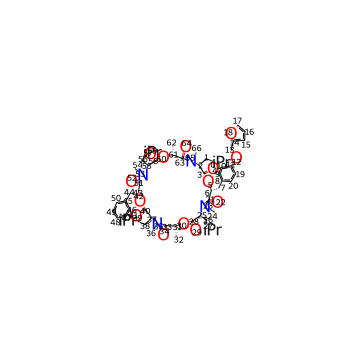 CC(C)C[C@H]1C(=O)O[C@H](Cc2ccc(OCc3ccco3)cc2)C(=O)N(C)[C@@H](CC(C)C)C(=O)O[C@H](C)C(=O)N(C)[C@@H](CC(C)C)C(=O)O[C@H](Cc2ccccc2)C(=O)N(C)[C@@H](CC(C)C)C(=O)O[C@H](C)C(=O)N1C